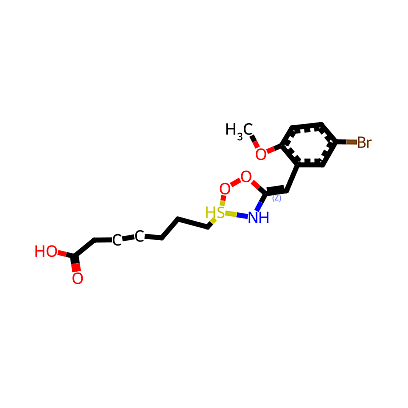 COc1ccc(Br)cc1/C=C1/N[SH](CCCCCCC(=O)O)OO1